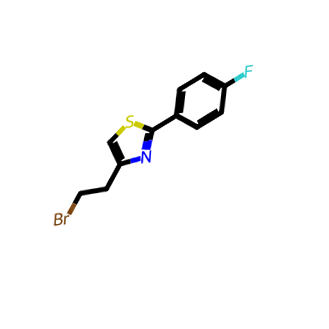 Fc1ccc(-c2nc(CCBr)cs2)cc1